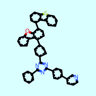 c1ccc(-c2nc(-c3ccc(-c4cccnc4)cc3)nc(-c3ccc(-c4ccc(-c5cccc6sc7ccccc7c56)c5oc6ccccc6c45)cc3)n2)cc1